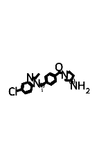 Cc1nc2cc(Cl)ccc2n1[C@@H](C)c1ccc(C(=O)N2CC[C@H](N)C2)cc1